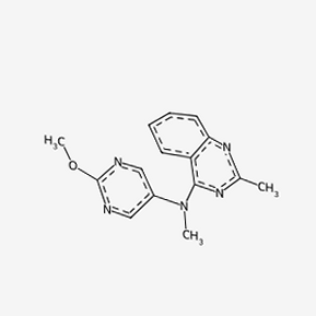 COc1ncc(N(C)c2nc(C)nc3ccccc23)cn1